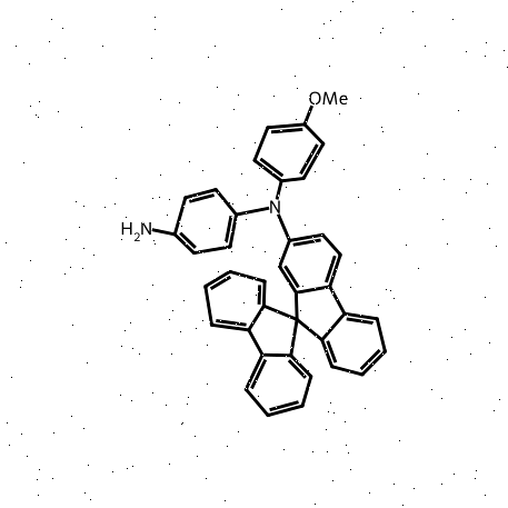 COc1ccc(N(c2ccc(N)cc2)c2ccc3c(c2)C2(c4ccccc4-c4ccccc42)c2ccccc2-3)cc1